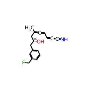 CC(=C=CC=C=C=N)C[C@H](O)Cc1cccc(CF)c1